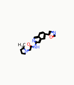 CC1CCCN1CC(=O)Nc1cc2cc(-c3cnco3)ccc2cn1